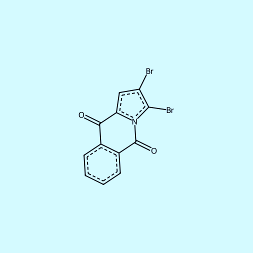 O=C1c2ccccc2C(=O)n2c1cc(Br)c2Br